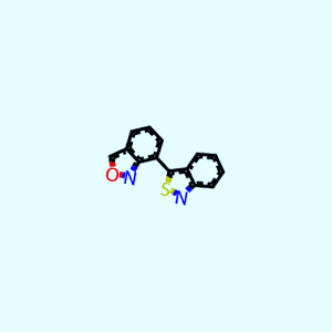 c1cc(-c2snc3ccccc23)c2nocc2c1